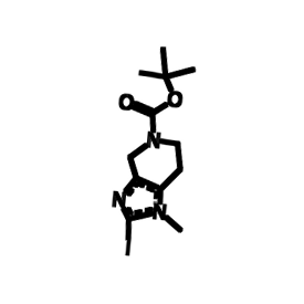 Cn1c(I)nc2c1CCN(C(=O)OC(C)(C)C)C2